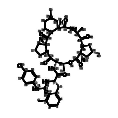 Cc1cccc(C[C@H](NC(=O)Nc2ccc(Cl)cc2)C(=O)N[C@@H]2C(=O)N3CCC[C@H]3C(=O)N3CCN(C)C[C@H]3C(=O)N[C@@H](C)C(=O)N3C[C@H](C)C[C@H]3C(=O)O[C@H]2C)c1